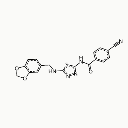 N#Cc1ccc(C(=O)Nc2nnc(NCc3ccc4c(c3)OCO4)s2)cc1